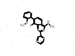 CNc1nc(-c2cnccn2)nc2c(F)c(-c3ccccc3OC)ccc12